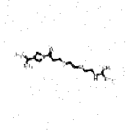 CC(C)NCCOCCOCCC(=O)N1CC(C(C)C)C1